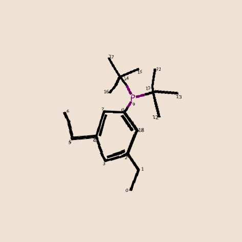 CCc1cc(CC)cc(P(C(C)(C)C)C(C)(C)C)c1